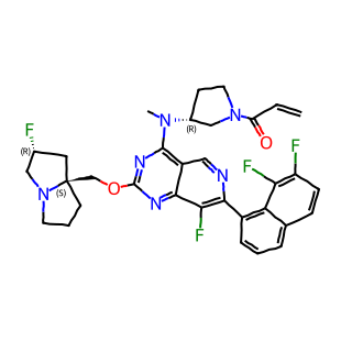 C=CC(=O)N1CC[C@@H](N(C)c2nc(OC[C@@]34CCCN3C[C@H](F)C4)nc3c(F)c(-c4cccc5ccc(F)c(F)c45)ncc23)C1